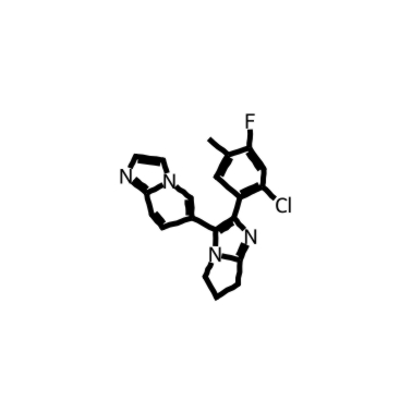 Cc1cc(-c2nc3n(c2-c2ccc4nccn4c2)CCC3)c(Cl)cc1F